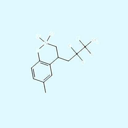 Cc1ccc2c(c1)C(CC(F)(F)C(F)(F)C(F)(F)F)C[N+]([O-])([O-])S2